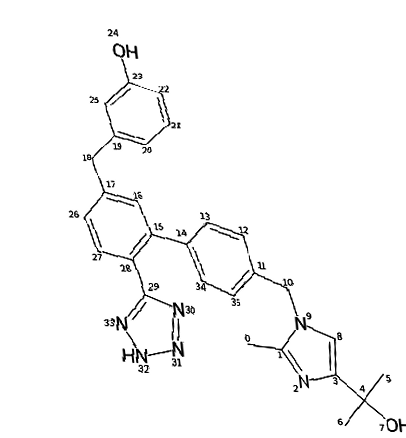 Cc1nc(C(C)(C)O)cn1Cc1ccc(-c2cc(Cc3cccc(O)c3)ccc2-c2nn[nH]n2)cc1